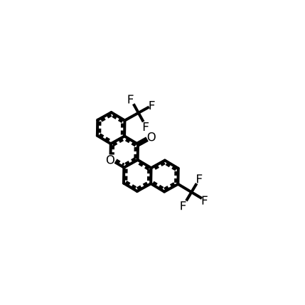 O=c1c2c(C(F)(F)F)cccc2oc2ccc3cc(C(F)(F)F)ccc3c12